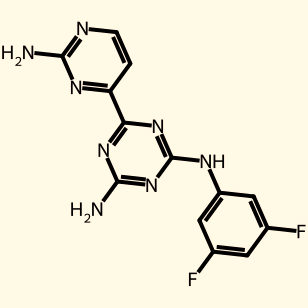 Nc1nccc(-c2nc(N)nc(Nc3cc(F)cc(F)c3)n2)n1